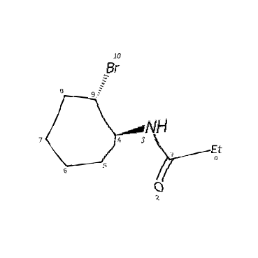 CCC(=O)N[C@H]1CCCC[C@@H]1Br